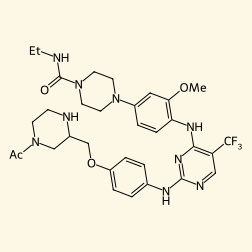 CCNC(=O)N1CCN(c2ccc(Nc3nc(Nc4ccc(OCC5CN(C(C)=O)CCN5)cc4)ncc3C(F)(F)F)c(OC)c2)CC1